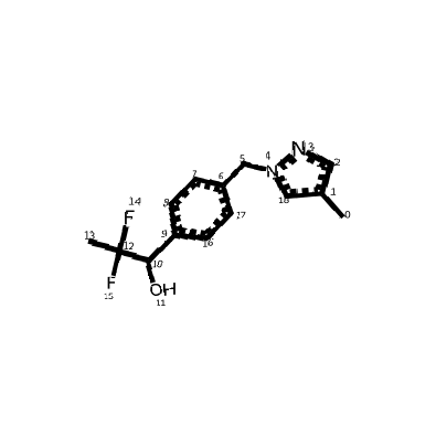 Cc1cnn(Cc2ccc(C(O)C(C)(F)F)cc2)c1